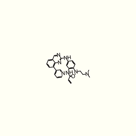 C=CC(=O)Nc1cc(Nc2ncc3cccc(-c4cccnc4)c3n2)ccc1N(C)CCN(C)C